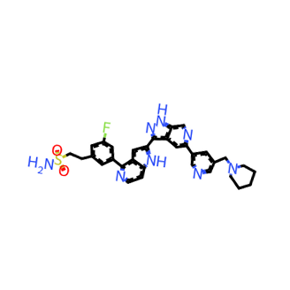 NS(=O)(=O)CCc1cc(F)cc(-c2nccc3[nH]c(-c4n[nH]c5cnc(-c6cncc(CN7CCCCC7)c6)cc45)cc23)c1